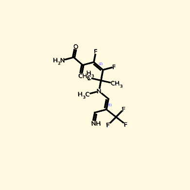 C=C(C(N)=O)/C(F)=C(/F)C(C)(C)N(C)/C=C(\C=N)C(F)(F)F